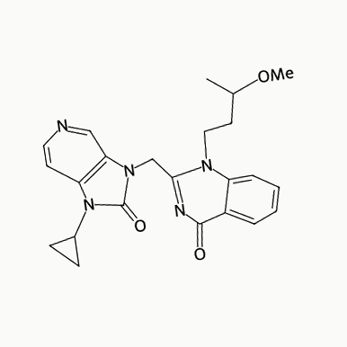 COC(C)CCn1c(Cn2c(=O)n(C3CC3)c3ccncc32)nc(=O)c2ccccc21